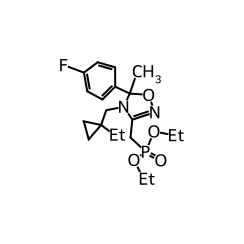 CCOP(=O)(CC1=NOC(C)(c2ccc(F)cc2)N1CC1(CC)CC1)OCC